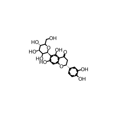 O=C1C[C@H](c2ccc(O)c(O)c2)Oc2cc(O)c([C@@H]3OC(CO)[C@@H](O)[C@H](O)C3O)c(O)c21